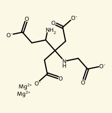 NC(CC(=O)[O-])C(CC(=O)[O-])(CC(=O)[O-])NCC(=O)[O-].[Mg+2].[Mg+2]